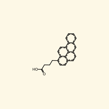 O=C(O)CCCc1ccc2ccc3cc4ccccc4c4ccc1c2c34